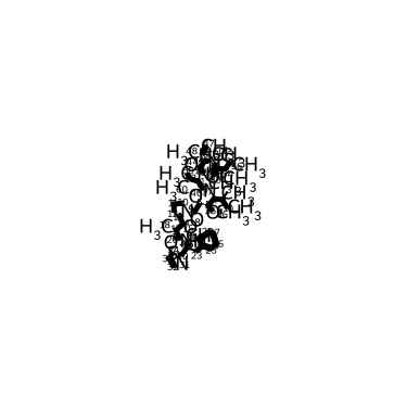 CC[C@H](C)[C@@H]([C@@H](CC(=O)N1CCC[C@H]1[C@H](OC)[C@@H](C)C(=O)N[C@@H](Cc1ccccc1)c1nccs1)OC)N(C)C(=O)[C@@H](NC(=O)[C@H](C(C)C)N(C)C(=O)[C@@H](C)C(C)C)C(C)C